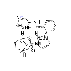 C/C(N)=C/C(=N)Nc1nc(N[C@@H]2C[C@H]3CC[C@@H](C2)N3S(=O)(=O)c2cccnc2)nc2ccccc12